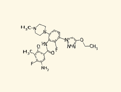 CCOc1cn(-c2ccc(N3CCN(C)CC3)c(NC(=O)c3cc(N)c(F)c(C)c3Cl)c2F)nn1